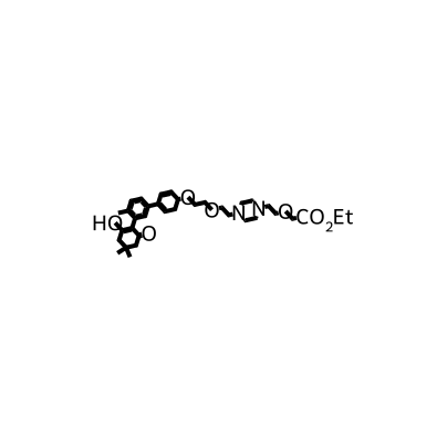 CCOC(=O)COCCN1CCN(CCOCCOC2C=CC(c3ccc(C)c(C4=C(O)CC(C)(C)CC4=O)c3)=CC2)CC1